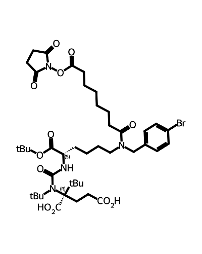 CC(C)(C)OC(=O)[C@H](CCCCN(Cc1ccc(Br)cc1)C(=O)CCCCCCC(=O)ON1C(=O)CCC1=O)NC(=O)N(C(C)(C)C)[C@@](CCC(=O)O)(C(=O)O)C(C)(C)C